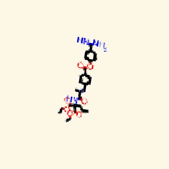 C=CCC(NC(=O)/C(C)=C/c1ccc(C(=O)Oc2ccc(C(=N)N)cc2)cc1)(C(=O)OCC)C(=O)OCC